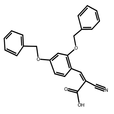 N#CC(=Cc1ccc(OCc2ccccc2)cc1OCc1ccccc1)C(=O)O